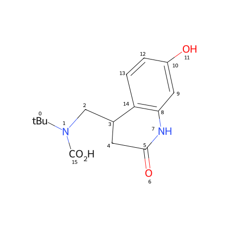 CC(C)(C)N(CC1CC(=O)Nc2cc(O)ccc21)C(=O)O